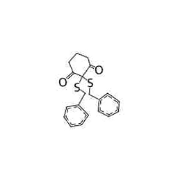 O=C1CCCC(=O)C1(SCc1ccccc1)SCc1ccccc1